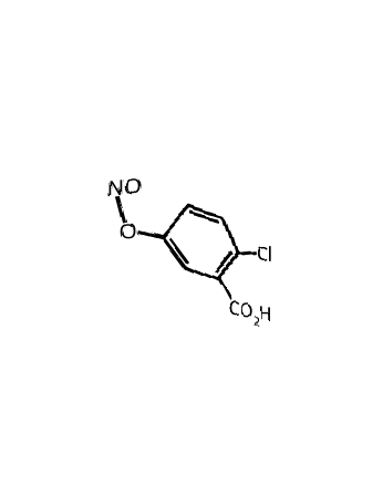 O=NOc1ccc(Cl)c(C(=O)O)c1